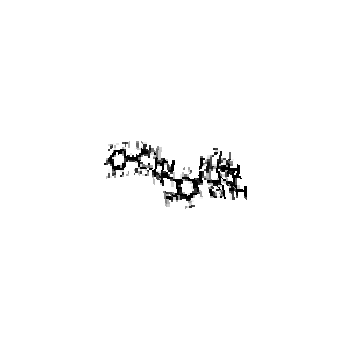 [2H]C([2H])([2H])N(C(=O)Nc1ccc(F)c(-c2nc3ncc(-c4ccccc4)cn3n2)c1)C([2H])([2H])[2H]